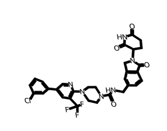 O=C1CCC(N2Cc3cc(CNC(=O)N4CCN(c5ncc(-c6cccc(Cl)c6)cc5C(F)(F)F)CC4)ccc3C2=O)C(=O)N1